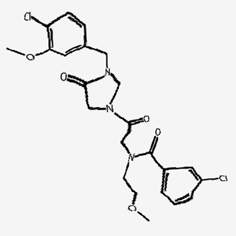 COCCN(CC(=O)N1CC(=O)N(Cc2ccc(Cl)c(OC)c2)C1)C(=O)c1cccc(Cl)c1